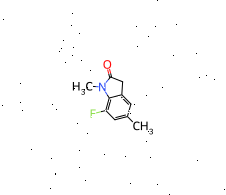 Cc1cc(F)c2c(c1)CC(=O)N2C